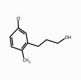 Cc1ccc(Cl)cc1CCCO